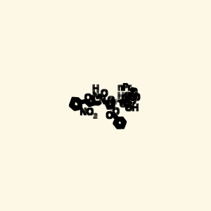 CCCOP(=O)(O)OP(=O)(O)OC[C@H]1O[C@@H](N2C=C3C=C(c4ccccc4[N+](=O)[O-])OC3NC2=O)C[C@H]1OC(=O)c1ccccc1